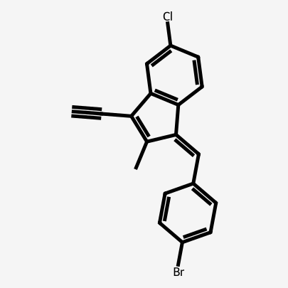 C#CC1=C(C)C(=Cc2ccc(Br)cc2)c2ccc(Cl)cc21